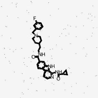 O=C(NCCC1CCN(Cc2cccc(F)c2)CC1)c1ccc2c(c1)[nH]c1c(NC(=O)C3CC3)nccc12